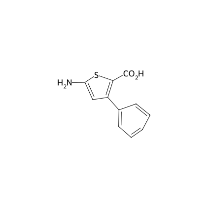 Nc1cc(-c2ccccc2)c(C(=O)O)s1